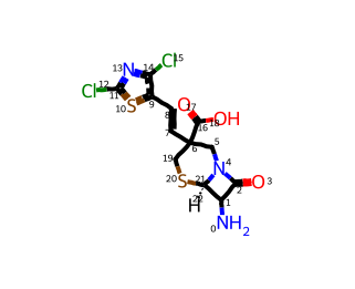 NC1C(=O)N2CC(C=Cc3sc(Cl)nc3Cl)(C(=O)O)CS[C@H]12